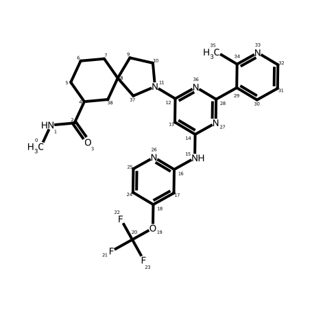 CNC(=O)C1CCCC2(CCN(c3cc(Nc4cc(OC(F)(F)F)ccn4)nc(-c4cccnc4C)n3)C2)C1